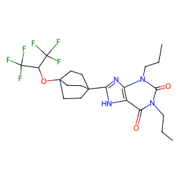 CCCn1c(=O)c2[nH]c(C34CCC(OC(C(F)(F)F)C(F)(F)F)(CC3)CC4)nc2n(CCC)c1=O